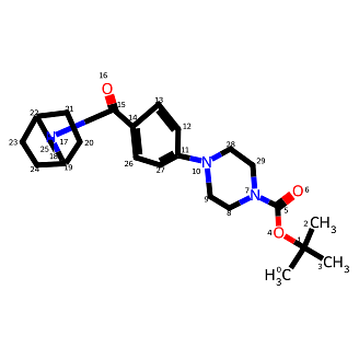 CC(C)(C)OC(=O)N1CCN(c2ccc(C(=O)N3CC4CCC(CC4)C3)cc2)CC1